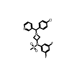 CS(=O)(=O)N(c1cc(F)cc(F)c1)C1CN(C(c2ccc(Cl)cc2)c2cccnc2)C1